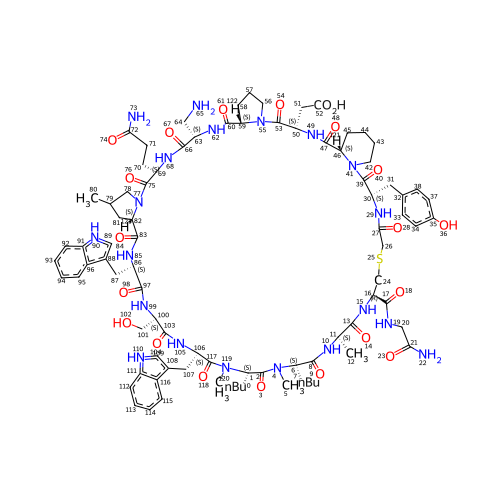 CCCC[C@H]1C(=O)N(C)[C@@H](CCCC)C(=O)N[C@@H](C)C(=O)N[C@H](C(=O)NCC(N)=O)CSCC(=O)N[C@@H](Cc2ccc(O)cc2)C(=O)N2CCCC[C@H]2C(=O)N[C@@H](CC(=O)O)C(=O)N2CCC[C@H]2C(=O)N[C@@H](CN)C(=O)N[C@@H](CCC(N)=O)C(=O)N2CC(C)C[C@H]2C(=O)N[C@@H](Cc2c[nH]c3ccccc23)C(=O)N[C@@H](CO)C(=O)N[C@@H](Cc2c[nH]c3ccccc23)C(=O)N1C